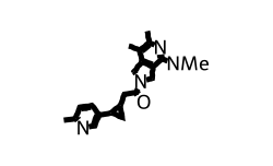 CNc1nc(C)c(C)c2c1CN(C(=O)CC1CC1c1ccc(C)nc1)C2